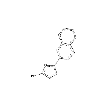 CC(C)c1ccc(-c2cnc3ccccc3c2)o1